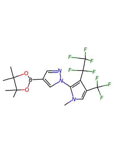 Cn1cc(C(F)(F)F)c(C(F)(F)C(F)(F)F)c1-n1cc(B2OC(C)(C)C(C)(C)O2)cn1